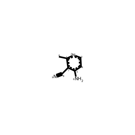 Cc1nccc(N)c1C#N